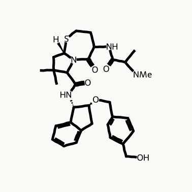 CNC(C)C(=O)NC1CCS[C@H]2CC(C)(C)C(C(=O)N[C@H]3c4ccccc4C[C@H]3OCc3ccc(CO)cc3)N2C1=O